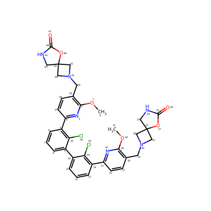 COc1nc(-c2cccc(-c3cccc(-c4ccc(CN5CC6(CNC(=O)O6)C5)c(OC)n4)c3Cl)c2Cl)ccc1CN1CC2(CNC(=O)O2)C1